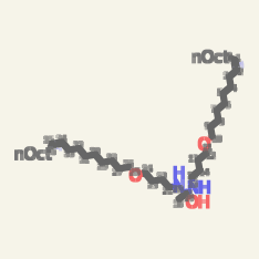 CCCCCCCC/C=C\CCCCCCCCOCCCCNC(C)(O)NCCCCOCCCCCCCC/C=C\CCCCCCCC